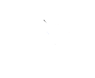 CC1C(=O)O[C@H](c2ccccc2)N1C(=O)OCc1ccccc1